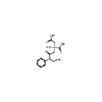 CCN(C(=O)CC(O)(CC(=O)O)C(=O)O)c1ccccc1